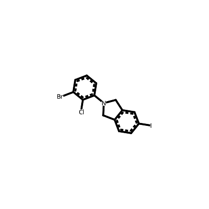 Clc1c(Br)cccc1N1Cc2ccc(I)cc2C1